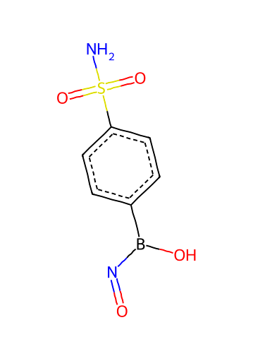 NS(=O)(=O)c1ccc(B(O)N=O)cc1